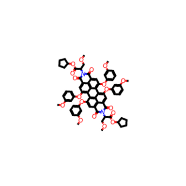 COCC(C(=O)OC1CCCC1)N1C(=O)c2cc(Oc3cccc(OC)c3)c3c4c(Oc5cccc(OC)c5)cc5c6c(cc(Oc7cccc(OC)c7)c(c7c(Oc8cccc(OC)c8)cc(c2c37)C1=O)c64)C(=O)N(C(COC)C(=O)OC1CCCC1)C5=O